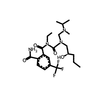 CCC[C@@H](O)CN(CN(C)C(C)C)C(=O)N(CC)C(=O)c1cc(C(F)(F)F)ccc1C(N)=O